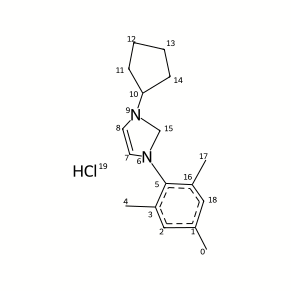 Cc1cc(C)c(N2C=CN(C3CCCC3)C2)c(C)c1.Cl